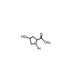 CC(=O)OC(=O)C1CC(O)CN1C(C)=O